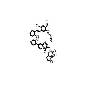 N#CCCOc1cc(C=Cc2cccc(-c3cccc(-c4ccn5c(=O)c(CN(CC6CCC(=O)N6)C(=O)O)cnc5c4)c3Cl)c2Cl)c(Cl)cc1C=O